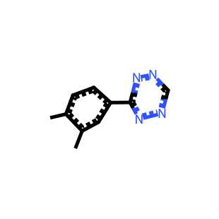 Cc1ccc(-c2nncnn2)cc1C